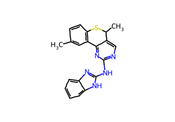 Cc1ccc2c(c1)-c1nc(Nc3nc4ccccc4[nH]3)ncc1C(C)S2